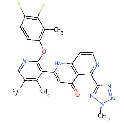 Cc1c(Oc2ncc(C(F)(F)F)c(C)c2-c2cc(=O)c3c(-c4nnn(C)n4)nccc3[nH]2)ccc(F)c1F